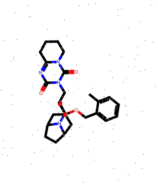 Cc1ccccc1COC1(C)CC2CCC(C1)N2CCCn1c(=O)nc2n(c1=O)CCCC2